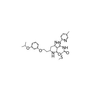 CSCC(=O)Nc1c2c(nn1-c1ccc(C)cn1)CC(CCOc1cccc(OC(C)C)c1)NC2=O